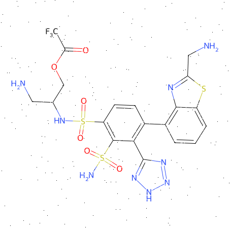 NCc1nc2c(-c3ccc(S(=O)(=O)NC(CN)COC(=O)C(F)(F)F)c(S(N)(=O)=O)c3-c3nn[nH]n3)cccc2s1